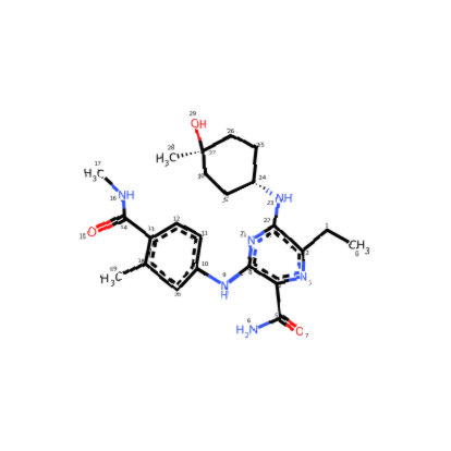 CCc1nc(C(N)=O)c(Nc2ccc(C(=O)NC)c(C)c2)nc1N[C@H]1CC[C@](C)(O)CC1